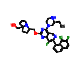 N#CC[C@H]1CN(c2nc(OCC3CCC4(CO)CCCN34)nc3c(F)c(-c4cccc5ccc(F)c(Cl)c45)ncc23)CCN1